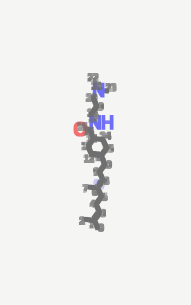 CC(C)=CCC/C(C)=C/CCC1=CCC(C(=O)NCCCN(C)C)CC1